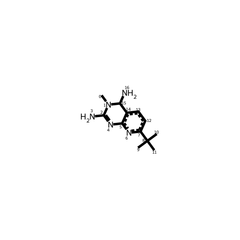 CN1C(N)=Nc2nc(C(C)(C)C)ccc2C1N